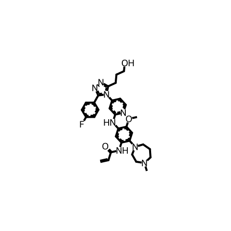 C=CC(=O)Nc1cc(Nc2cc(-n3c(CCCO)nnc3-c3ccc(F)cc3)ccn2)c(OC)cc1N1CCCN(C)CC1